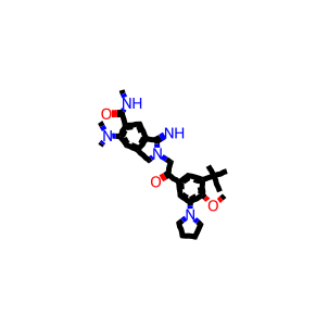 CNC(=O)c1cc2c(cc1N(C)C)CN(CC(=O)c1cc(N3CCCC3)c(OC)c(C(C)(C)C)c1)C2=N